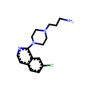 NCCCN1CCN(c2nccc3ccc(Cl)cc23)CC1